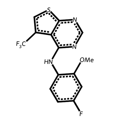 COc1cc(F)ccc1Nc1ncnc2scc(C(F)(F)F)c12